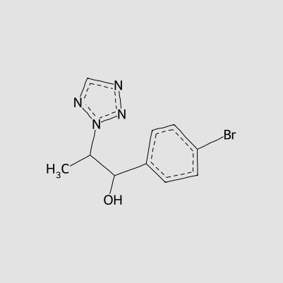 CC(C(O)c1ccc(Br)cc1)n1ncnn1